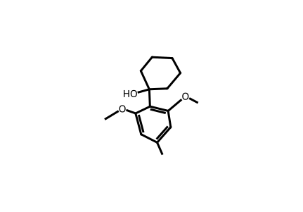 COc1cc(C)cc(OC)c1C1(O)CCCCC1